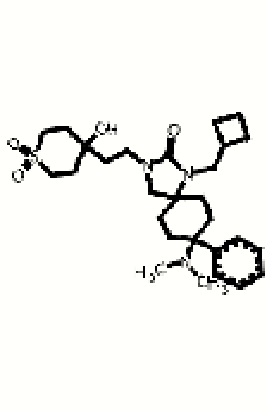 CN(C)C1(c2ccccc2)CCC2(CC1)CN(CCC1(O)CCS(=O)(=O)CC1)C(=O)N2CC1CCC1